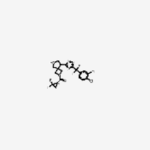 O=C([C@H]1CC1(F)F)N1CC2(CNCC2c2nnc(C(F)(F)c3ccc(Cl)c(Cl)c3)o2)C1